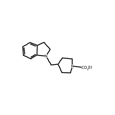 CCOC(=O)N1CCC(CN2CCc3ccccc32)CC1